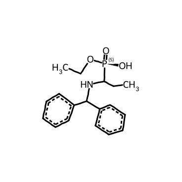 CCO[P@@](=O)(O)C(CC)NC(c1ccccc1)c1ccccc1